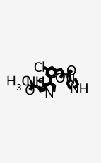 CNC(=O)c1cc2nccc(-c3cc(Cl)cc4c3O[C@H](C(=O)N3CCNCC3)C4)c2s1